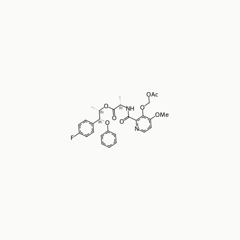 COc1ccnc(C(=O)N[C@@H](C)C(=O)O[C@@H](C)[C@H](Oc2ccccc2)c2ccc(F)cc2)c1OCOC(C)=O